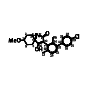 COC1CCC2(CC1)NC(=O)C(c1c(C)ccc(-c3ccc(Cl)cc3)c1C)=C2O